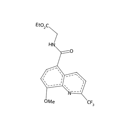 CCOC(=O)CNC(=O)c1ccc(OC)c2nc(C(F)(F)F)ccc12